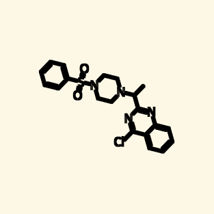 CC(c1nc(Cl)c2ccccc2n1)N1CCN(S(=O)(=O)c2ccccc2)CC1